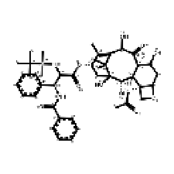 CC(=O)O[C@@]12COC1CC(O)[C@]1(C)C(=O)C(O)C3=C(C)[C@@H](OC(=O)C(O[Si](C)(C)C(C)(C)C)[C@@H](NC(=O)c4ccccc4)c4ccccc4)CC(O)([C@@H](O)[C@H]21)C3(C)C